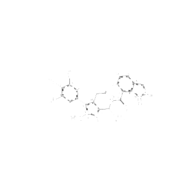 CC1c2nn(C)c(-c3cc(F)c(F)c(F)c3)c2CCN1C(=O)c1cccc2cn[nH]c12